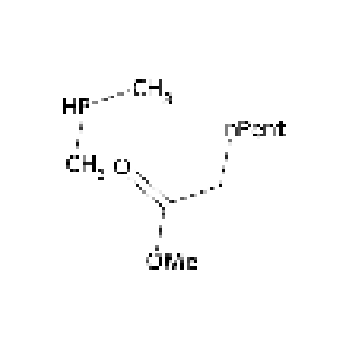 CCCCCCC(=O)OC.CPC